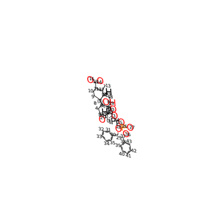 CC(C)[C@]12O[C@H]1C[C@@]1(O)[C@@]3(C)CCC4=C(COC4=O)[C@@H]3CC3O[C@@]31[C@@H]2OCOP(=O)(OCc1ccccc1)OCc1ccccc1